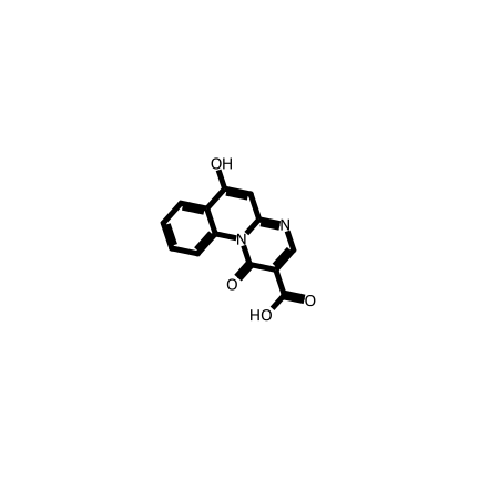 O=C(O)c1cnc2cc(O)c3ccccc3n2c1=O